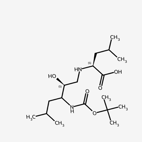 CC(C)CC(NC(=O)OC(C)(C)C)[C@@H](O)CN[C@@H](CC(C)C)C(=O)O